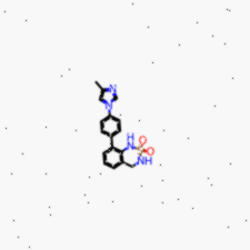 Cc1cn(-c2ccc(-c3cccc4c3NS(=O)(=O)NC4)cc2)cn1